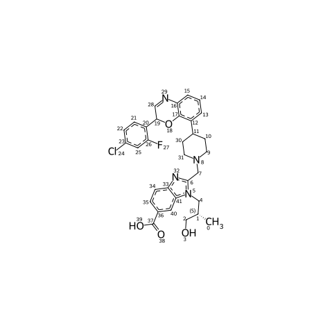 C[C@H](CO)Cn1c(CN2CCC(c3cccc4c3OC(c3ccc(Cl)cc3F)C=N4)CC2)nc2ccc(C(=O)O)cc21